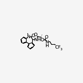 C[C@H](OC(=O)NCCCC(F)(F)F)C(=O)NC1C(=O)N(C)c2ccccc2-c2ccccc21